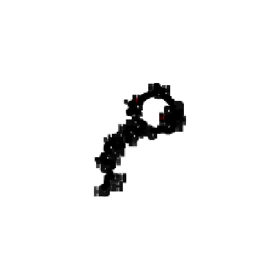 C=C1C[C@@H]2CC[C@]34CC(O3)[C@@H]3O[C@H]5CC[C@H](CC(=O)O[C@@H]6[C@@H](C)[C@@H]7O[C@@H]8C[C@@]9(C[C@@H]%10O[C@]%11(C[C@H](C)[C@@H]%12O[C@H]([C@@H](O)C[C@@H](O)CO)C[C@@H]%12O%11)C[C@H](C)[C@@H]%10O9)O[C@@H]8C[C@@H]7O[C@H]6C[C@H]6O[C@@H](CC[C@@H]1O2)C[C@@H](C)C6=C)O[C@@H]5[C@H](O4)[C@@H]3O